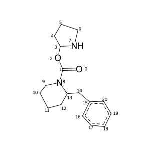 O=C(OC1CCCN1)N1CCCCC1Cc1ccccc1